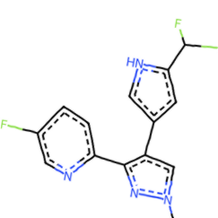 Cn1cc(-c2c[nH]c(C(F)F)c2)c(-c2ccc(F)cn2)n1